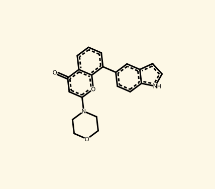 O=c1cc(N2CCOCC2)oc2c(-c3ccc4[nH]ccc4c3)cccc12